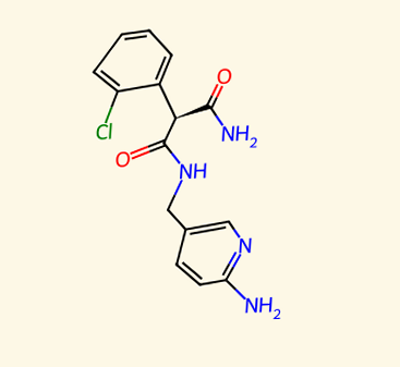 NC(=O)[C@@H](C(=O)NCc1ccc(N)nc1)c1ccccc1Cl